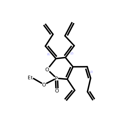 C=C/C=C\C1=C(C=C)P(=O)(OCC)OC(=C/C=C)/C1=C\C=C